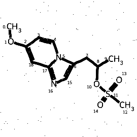 COc1ccn2c(CC(C)OS(C)(=O)=O)cnc2c1